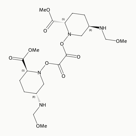 COCN[C@@H]1CC[C@@H](C(=O)OC)N(OC(=O)C(=O)ON2C[C@H](NCOC)CC[C@H]2C(=O)OC)C1